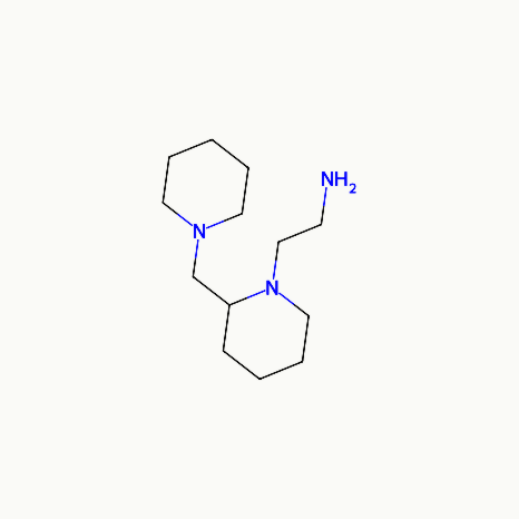 NCCN1CCCCC1CN1CCCCC1